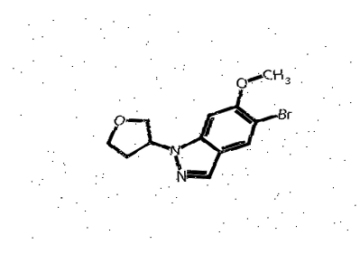 COc1cc2c(cnn2C2CCOC2)cc1Br